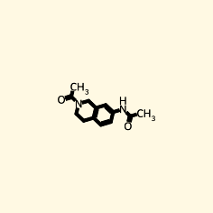 CC(=O)Nc1ccc2c(c1)CN(C(C)=O)CC2